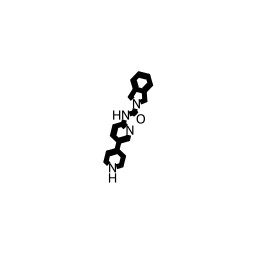 O=C(Nc1ccc(C2=CCNCC2)cn1)N1Cc2ccccc2C1